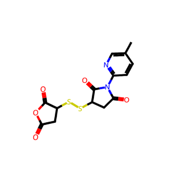 Cc1ccc(N2C(=O)CC(SSC3CC(=O)OC3=O)C2=O)nc1